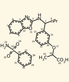 CCCC(Nc1nc2ccccc2o1)c1cccc(OC(C)C(=O)O)c1.NS(=O)(=O)c1ccccc1